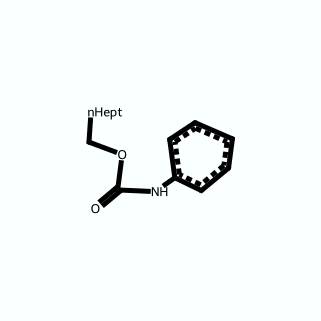 CCCCCCCCOC(=O)Nc1ccccc1